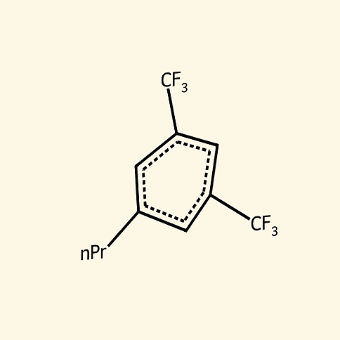 CCCc1cc(C(F)(F)F)cc(C(F)(F)F)c1